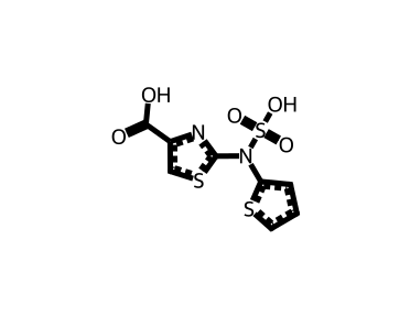 O=C(O)c1csc(N(c2cccs2)S(=O)(=O)O)n1